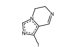 Ic1ncn2c1C=NCC2